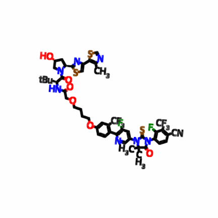 Cc1ncsc1-c1csc([C@@H]2C[C@@H](O)CN2C(=O)[C@@H](NC(=O)COCCCCOc2ccc(-c3ncc(N4C(=S)N(c5ccc(C#N)c(C(F)(F)F)c5F)C(=O)C4(C)C)cc3F)c(C(F)(F)F)c2)C(C)(C)C)n1